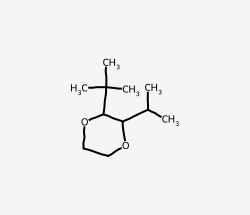 CC(C)C1OCCOC1C(C)(C)C